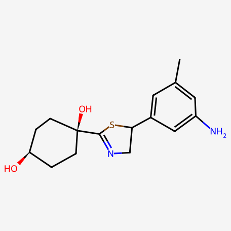 Cc1cc(N)cc(C2CN=C([C@]3(O)CC[C@@H](O)CC3)S2)c1